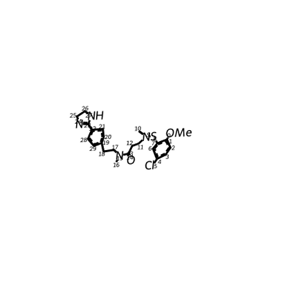 COc1ccc(Cl)cc1SN(C)CCC(=O)N(C)CCc1ccc(C2=NCCN2)cc1